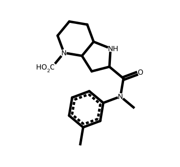 Cc1cccc(N(C)C(=O)C2CC3C(CCCN3C(=O)O)N2)c1